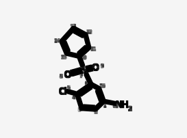 Nc1ccc(Cl)c(S(=O)(=O)c2ccccc2)c1